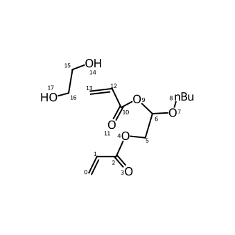 C=CC(=O)OCC(OCCCC)OC(=O)C=C.OCCO